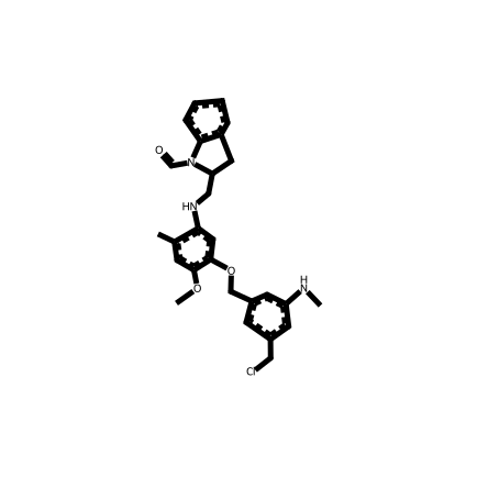 CNc1cc(CCl)cc(COc2cc(NCC3Cc4ccccc4N3C=O)c(C)cc2OC)c1